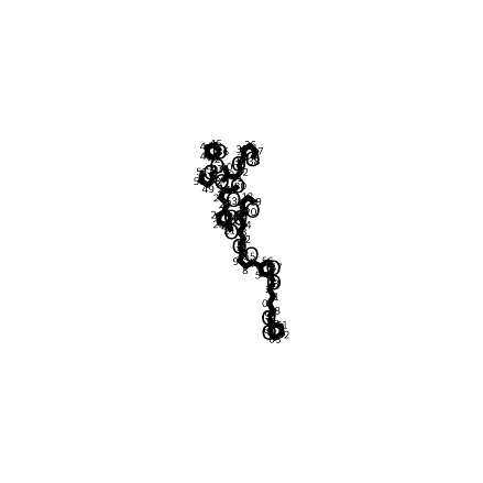 C(CCOC1CC(C2CCC(OCC(COC3CCCO3)OC3CCC(C4CCC(OC(COC5CCCO5)C(COC5CCCO5)OC5CCCO5)O4)O3)O2)CO1)COC1CCCO1